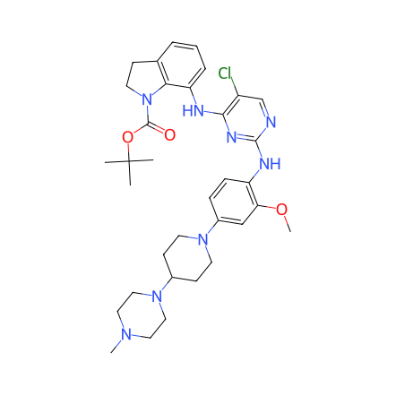 COc1cc(N2CCC(N3CCN(C)CC3)CC2)ccc1Nc1ncc(Cl)c(Nc2cccc3c2N(C(=O)OC(C)(C)C)CC3)n1